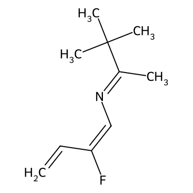 C=C/C(F)=C\N=C(/C)C(C)(C)C